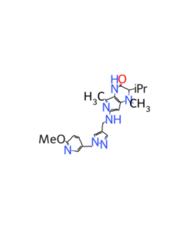 COc1ccc(Cn2cc(CNc3cc4c(c(C)n3)NC(=O)C(C(C)C)N4C)cn2)cn1